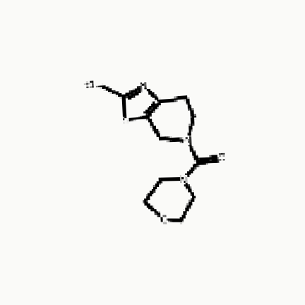 CC(C)(C)c1nc2c(s1)CN(C(=O)N1CCOCC1)CC2